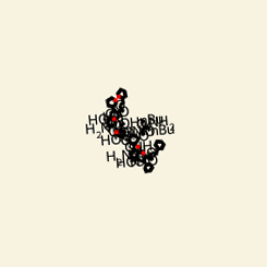 CCCCO[C@H](C(=O)N[C@@H]1C[C@H](N)[C@@H](O[C@H]2O[C@@H]3CN(C(=O)OCc4ccccc4)C(c4ccccc4)O[C@H]3[C@@H](O)[C@H]2N)C(O[C@@H]2O[C@H](CO)[C@@H](O[C@H]3O[C@H]4CN(C(=O)OCc5ccccc5)C(c5ccccc5)O[C@H]4[C@H](O)[C@H]3N)[C@H]2O)[C@H]1O)[C@@H](CN)OCCCC